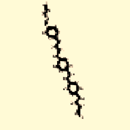 C=CCOCc1ccc(CCCCc2ccc(CCC3CCC(CC/C=C/C)CC3)cc2)cc1